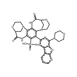 O=C1Nc2c3c(c(P(=O)(O)O)c(-c4nc(N5CCOCC5)c5oc6ncccc6c5n4)c2N2CCOC1C2)NC(=O)C1CN3CCO1